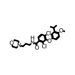 COc1ccc(Oc2c(Cl)ccc(C(=O)NCCCN3CCOCC3)c2Cl)cc1C(C)C